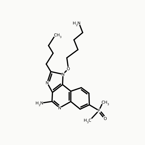 CCCCc1nc2c(N)nc3cc(P(C)(C)=O)ccc3c2n1OCCCCN